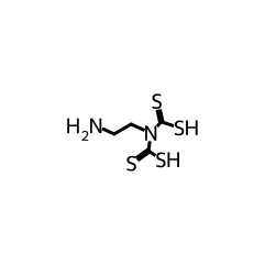 NCCN(C(=S)S)C(=S)S